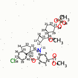 COC(=O)c1ccc2c(c1)N(C[C@@H]1CC[C@H]1[C@H](OC)[C@H]1CCC[C@@H](OS(C)(=O)=O)C1)CC1(CCCc3cc(Cl)ccc31)CO2